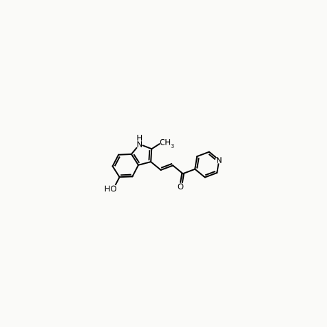 Cc1[nH]c2ccc(O)cc2c1/C=C/C(=O)c1ccncc1